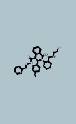 O=C(NCCO)C1CCCCC1N1C(=O)c2ccccc2C(C(=O)NOCc2ccccn2)C1c1ccc(Cl)cc1